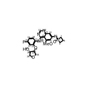 COc1cc(N=S2(=O)CCC2)cc2ncnc(Nc3ccc(F)cc3O[C@H]3COC[C@@H]3O)c12